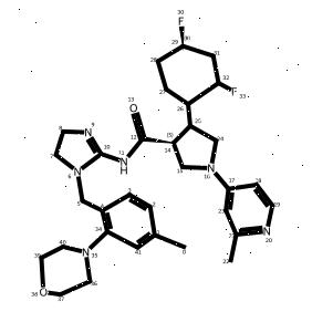 Cc1ccc(CN2CCN=C2NC(=O)[C@@H]2CN(c3ccnc(C)c3)CC2C2CC[C@@H](F)CC2F)c(N2CCOCC2)c1